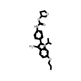 CCCOc1ccc2c(N)c(-c3ccc(NC(=O)OC4CCOC4)cc3)n(C(C)C)c2c1